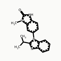 CC(C)c1nc2ccccc2n1-c1ccc2[nH]c(=O)n(C)c2c1